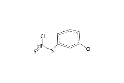 S=[PH](Cl)Sc1cccc(Cl)c1